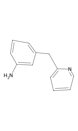 Nc1cccc(Cc2ccccn2)c1